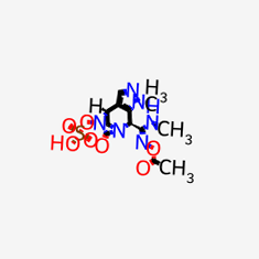 CN/C(=N\OC(C)=O)[C@@H]1c2c(cnn2C)[C@@H]2CN1C(=O)N2OS(=O)(=O)O